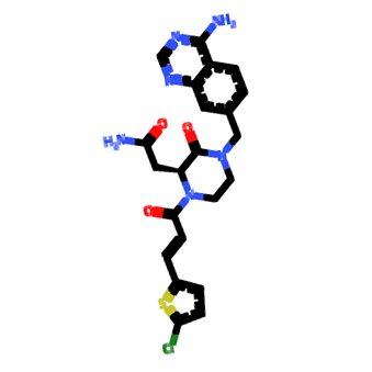 NC(=O)C[C@H]1C(=O)N(Cc2ccc3c(N)ncnc3c2)CCN1C(=O)C=Cc1ccc(Cl)s1